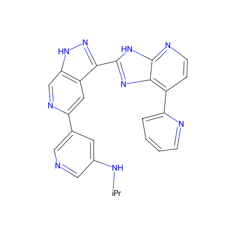 CC(C)Nc1cncc(-c2cc3c(-c4nc5c(-c6ccccn6)ccnc5[nH]4)n[nH]c3cn2)c1